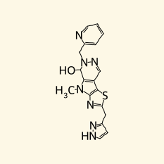 Cn1c2c(c3sc(Cc4cc[nH]n4)nc31)C=NN(Cc1ccccn1)C2O